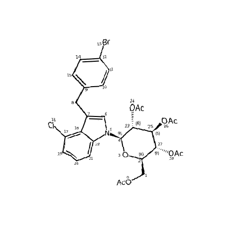 CC(=O)OC[C@H]1O[C@@H](n2cc(Cc3ccc(Br)cc3)c3c(Cl)cccc32)[C@H](OC(C)=O)[C@@H](OC(C)=O)[C@@H]1OC(C)=O